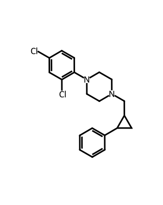 Clc1ccc(N2CCN(CC3CC3c3ccccc3)CC2)c(Cl)c1